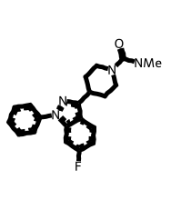 CNC(=O)N1CCC(c2nn(-c3ccccc3)c3cc(F)ccc23)CC1